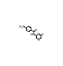 Cc1cncc(NC(=O)c2ccc(N)cc2)n1